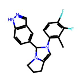 Cc1c(N2C=C3CCCN3C2c2ccc3[nH]ncc3c2)ccc(F)c1F